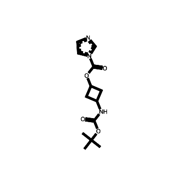 CC(C)(C)OC(=O)NC1CC(OC(=O)n2ccnc2)C1